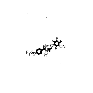 Cc1c(F)c(F)c(C#N)c(F)c1OC[C@](C)(C#N)NC(=O)c1ccc(SC(F)(F)F)cc1